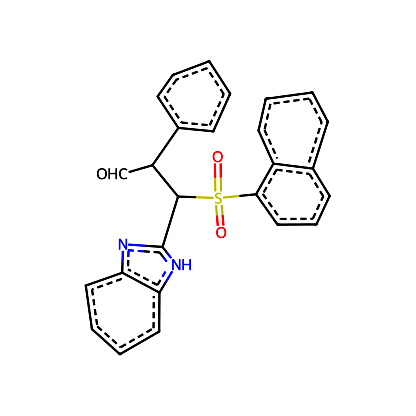 O=CC(c1ccccc1)C(c1nc2ccccc2[nH]1)S(=O)(=O)c1cccc2ccccc12